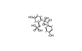 CCC(c1ccc(O)cc1)C(O)(O)C1=CC=C(O)CC1=NP(=O)(O)O